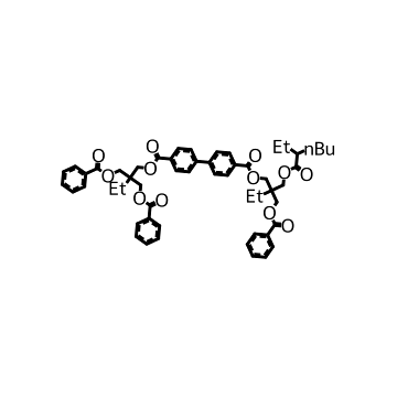 CCCCC(CC)C(=O)OCC(CC)(COC(=O)c1ccccc1)COC(=O)c1ccc(-c2ccc(C(=O)OCC(CC)(COC(=O)c3ccccc3)COC(=O)c3ccccc3)cc2)cc1